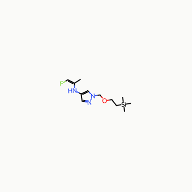 C/C(=C/F)Nc1cnn(COCC[Si](C)(C)C)c1